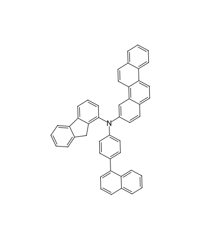 c1ccc2c(c1)Cc1c-2cccc1N(c1ccc(-c2cccc3ccccc23)cc1)c1ccc2ccc3c4ccccc4ccc3c2c1